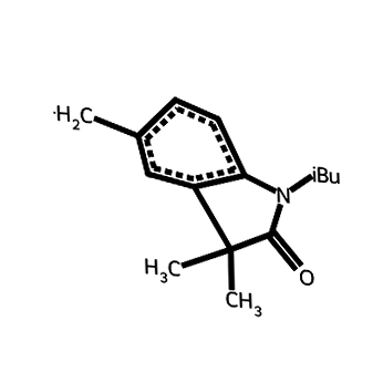 [CH2]c1ccc2c(c1)C(C)(C)C(=O)N2C(C)CC